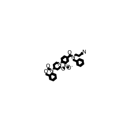 N#CCCN(Cc1ccccc1)C(=O)c1ccc(N2CCC(N3C(=O)OCc4ccccc43)CC2)c([N+](=O)[O-])c1